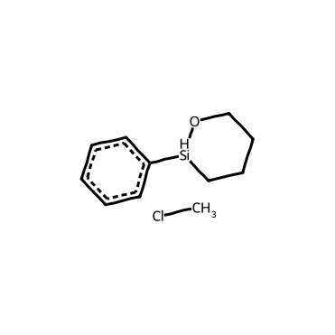 CCl.c1ccc([SiH]2CCCCO2)cc1